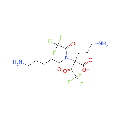 NCCCCC(=O)N(C(=O)C(F)(F)F)C(CCCN)(C(=O)O)C(=O)C(F)(F)F